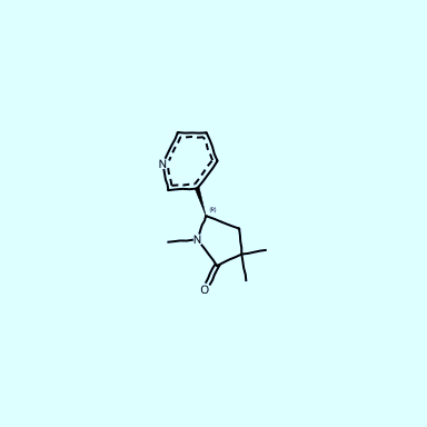 CN1C(=O)C(C)(C)C[C@@H]1c1cccnc1